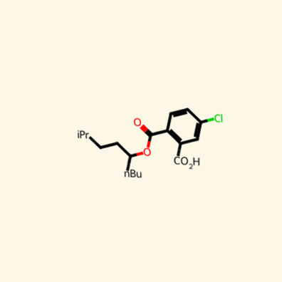 CCCCC(CCC(C)C)OC(=O)c1ccc(Cl)cc1C(=O)O